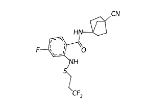 N#CC12CCC(NC(=O)c3ccc(F)cc3NSCCC(F)(F)F)(CC1)C2